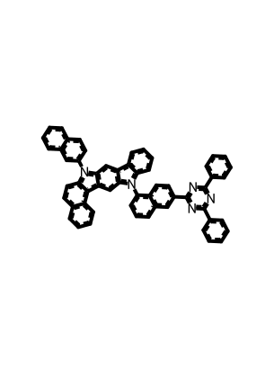 c1ccc(-c2nc(-c3ccccc3)nc(-c3ccc4c(-n5c6ccccc6c6cc7c(cc65)c5c6ccccc6ccc5n7-c5ccc6ccccc6c5)cccc4c3)n2)cc1